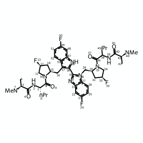 CCC[C@H](NC(=O)[C@H](C)NC)C(=O)N1C[C@@H](F)C[C@H]1Cc1c(-c2nc3cc(F)ccc3n2C[C@@H]2C[C@H](F)CN2C(=O)C(NC(=O)[C@H](C)NC)C(C)C)[nH]c2cc(F)ccc12